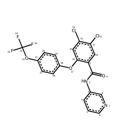 O=C(Nc1cccnc1)c1cc(Cl)c(Cl)cc1Oc1ccc(OC(F)(F)F)cc1